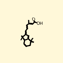 CC(C=CC=C1C=C2C(CCCC2(C)C)C1(C)C)=CC(=O)O